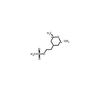 C[C@@H]1CC(CCOS(C)(=O)=O)C[C@@H](C)O1